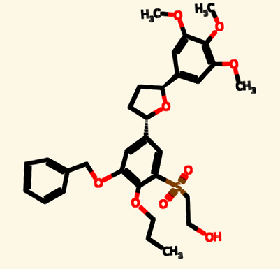 CCCOc1c(OCc2ccccc2)cc([C@@H]2CC[C@@H](c3cc(OC)c(OC)c(OC)c3)O2)cc1S(=O)(=O)CCO